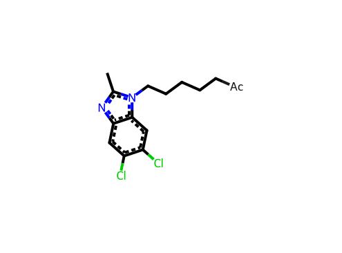 CC(=O)CCCCCn1c(C)nc2cc(Cl)c(Cl)cc21